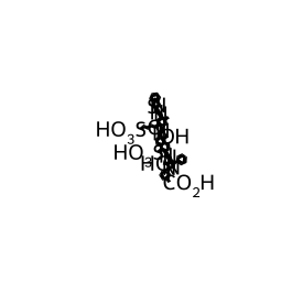 Cc1cc(N=Nc2ccc3c(S(=O)(=O)O)c(N=Nc4c(-c5ccccc5)nn(-c5cccc(C(=O)O)c5)c4O)ccc3c2O)c(OCCCS(=O)(=O)O)cc1N=Nc1nc2ccccc2s1